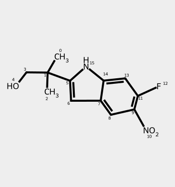 CC(C)(CO)c1cc2cc([N+](=O)[O-])c(F)cc2[nH]1